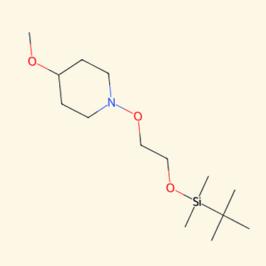 COC1CCN(OCCO[Si](C)(C)C(C)(C)C)CC1